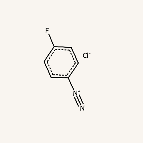 N#[N+]c1ccc(F)cc1.[Cl-]